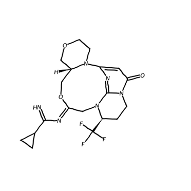 N=C(/N=C1/CN2c3nc(cc(=O)n3CC[C@H]2C(F)(F)F)N2CCOC[C@H]2CO1)C1CC1